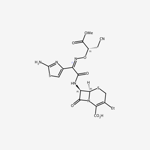 CCC1=C(C(=O)O)N2C(=O)[C@@H](NC(=O)/C(=N\O[C@@H](CC#N)C(=O)OC)c3csc(N)n3)[C@H]2SC1